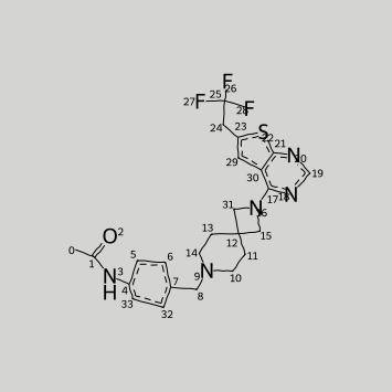 CC(=O)Nc1ccc(CN2CCC3(CC2)CN(c2ncnc4sc(CC(F)(F)F)cc24)C3)cc1